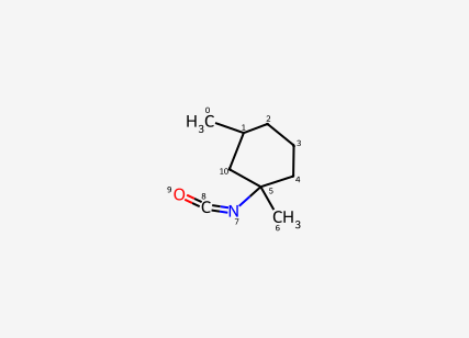 CC1CCCC(C)(N=C=O)C1